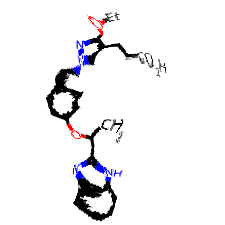 CCOc1nn(Cc2ccc(OC(C)c3nc4ccccc4[nH]3)cc2)cc1CCC(=O)O